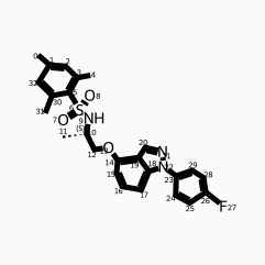 Cc1cc(C)c(S(=O)(=O)N[C@@H](C)COc2cccc3c2cnn3-c2ccc(F)cc2)c(C)c1